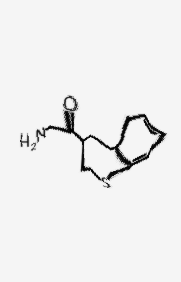 NC(=O)C1CSC2=CC=CCC21